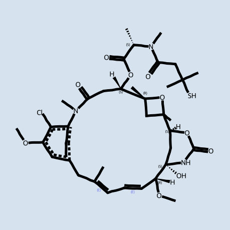 COc1cc2cc(c1Cl)N(C)C(=O)C[C@H](OC(=O)[C@H](C)N(C)C(=O)CC(C)(C)S)[C@@]1(C)CC(C)(O1)[C@@H]1C[C@@](O)(NC(=O)O1)[C@H](OC)/C=C/C=C(\C)C2